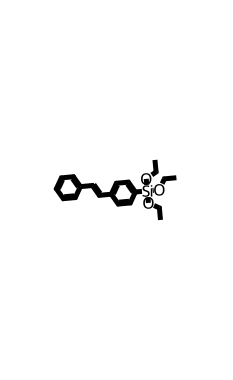 CCO[Si](OCC)(OCC)c1ccc(C=Cc2ccccc2)cc1